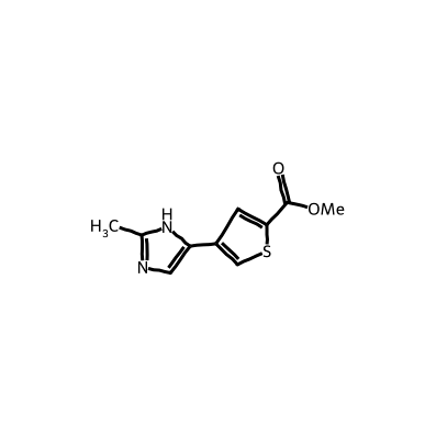 COC(=O)c1cc(-c2cnc(C)[nH]2)cs1